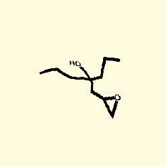 CCCC(O)(CCC)CC1CO1